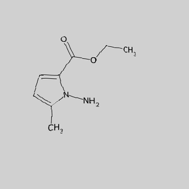 CCOC(=O)c1ccc(C)n1N